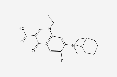 CCn1cc(C(=O)O)c(=O)c2cc(F)c(N3CC4CCCC(C3)N4C)cc21